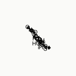 CC(C)[C@@H](OC(=O)N1CCC1)[C@H]1C[C@@H](C)[C@H]2[C@H](O1)[C@H](O)[C@@]1(C)[C@@H]3CC[C@H]4C(C)(C)[C@@H](OC(=O)N5CCN(C6COC6)CC5)CC[C@@]45CC35CC[C@]21C